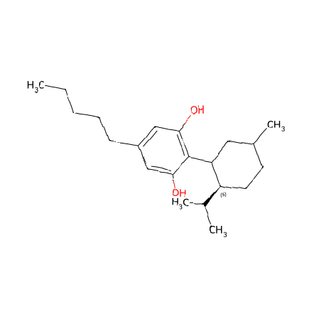 CCCCCc1cc(O)c(C2CC(C)CC[C@H]2C(C)C)c(O)c1